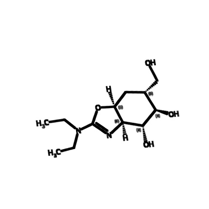 CCN(CC)C1=N[C@@H]2[C@@H](O)[C@H](O)[C@@H](CO)C[C@@H]2O1